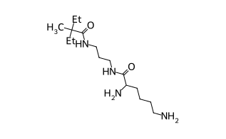 CCC(C)(CC)C(=O)NCCCNC(=O)C(N)CCCCN